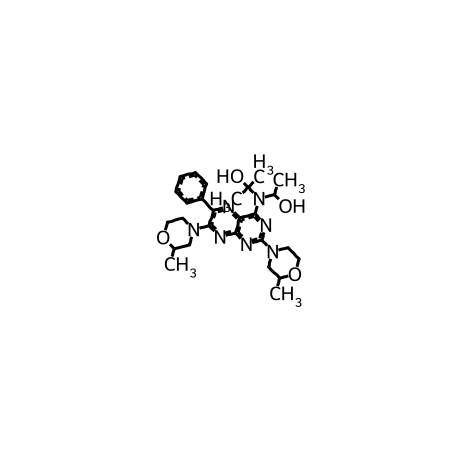 CC1CN(c2nc(N(C(C)O)C(C)(C)O)c3nc(-c4ccccc4)c(N4CCOC(C)C4)nc3n2)CCO1